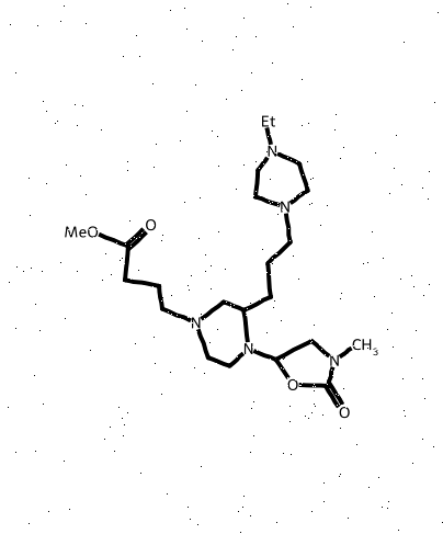 CCN1CCN(CCCC2CN(CCCC(=O)OC)CCN2C2CN(C)C(=O)O2)CC1